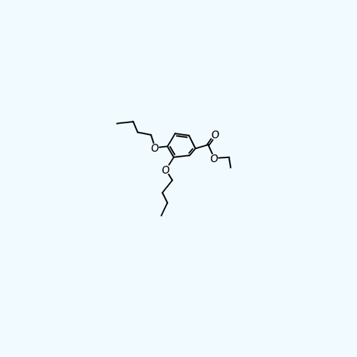 CCCCOc1ccc(C(=O)OCC)cc1OCCCC